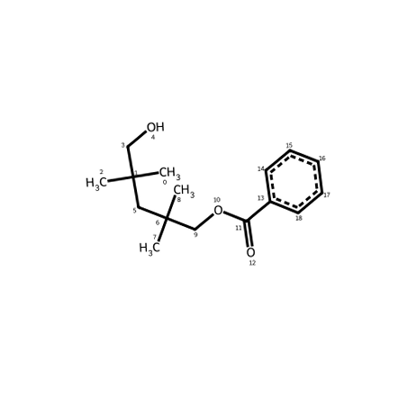 CC(C)(CO)CC(C)(C)COC(=O)c1ccccc1